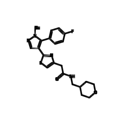 CCC(C)n1ncc(-c2nc(CC(=O)NCC3CCOCC3)cs2)c1-c1ccc(F)cc1